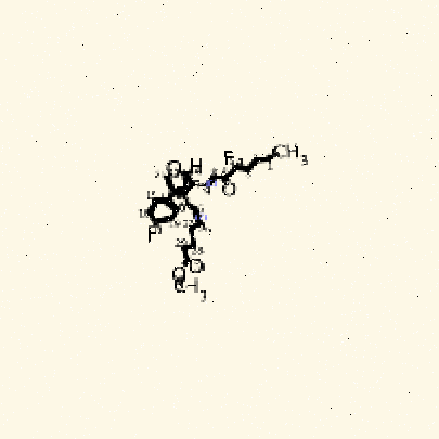 CCCCC(F)C(=O)/C=C/[C@@H]1[C@@H]2C[C@@](c3ccc(F)cc3)(CO2)[C@H]1C/C=C\CCCC(=O)OC